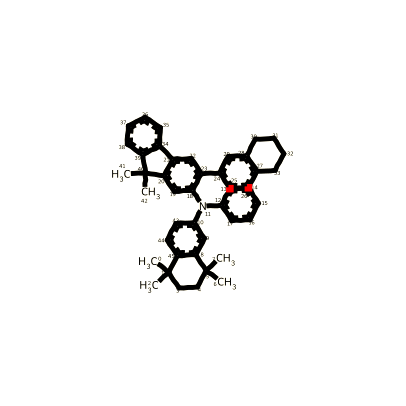 CC1(C)CCC(C)(C)c2cc(N(c3ccccc3)c3cc4c(cc3-c3ccc5c(c3)CCCC5)-c3ccccc3C4(C)C)ccc21